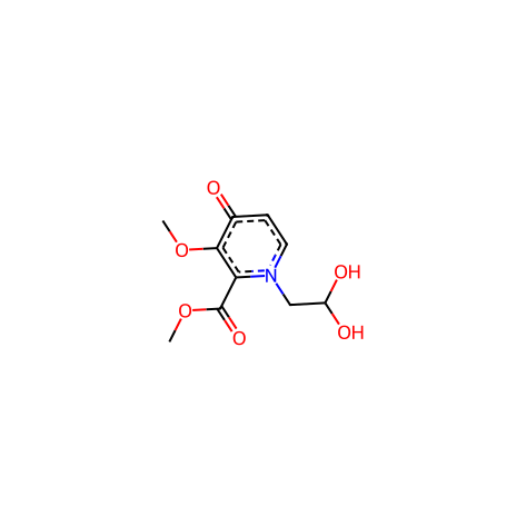 COC(=O)c1c(OC)c(=O)ccn1CC(O)O